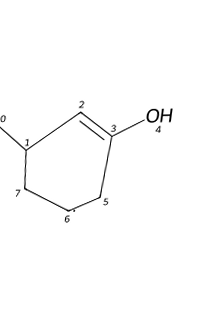 CC1C=C(O)C[CH]C1